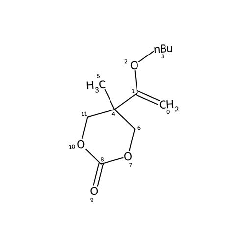 C=C(OCCCC)C1(C)COC(=O)OC1